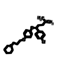 CN(C)CCC(Oc1ccc(OCCCN2CCCCC2)cc1)c1ccc(Cl)cc1